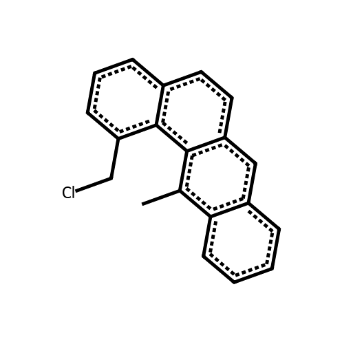 Cc1c2ccccc2cc2ccc3cccc(CCl)c3c12